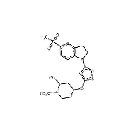 CC(C)(C)C1CC(Oc2nc(N3CCc4cc(S(C)(=O)=O)ccc43)cs2)CCN1C(=O)O